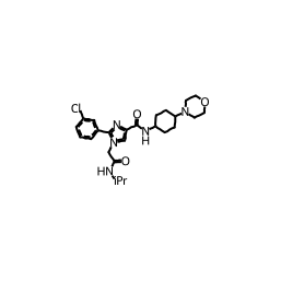 CC(C)NC(=O)Cn1cc(C(=O)NC2CCC(N3CCOCC3)CC2)nc1-c1cccc(Cl)c1